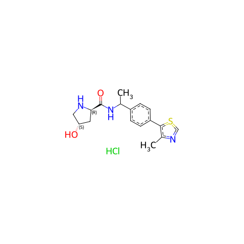 Cc1ncsc1-c1ccc(C(C)NC(=O)[C@H]2C[C@H](O)CN2)cc1.Cl